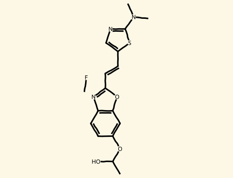 CC(O)Oc1ccc2nc(C=Cc3cnc(N(C)C)s3)oc2c1.CF